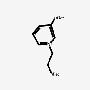 CCCCCCCCCCCC[n+]1cccc(CCCCCCCC)c1